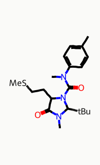 CSCCC1C(=O)N(C)C(C(C)(C)C)N1C(=O)N(C)c1ccc(C)cc1